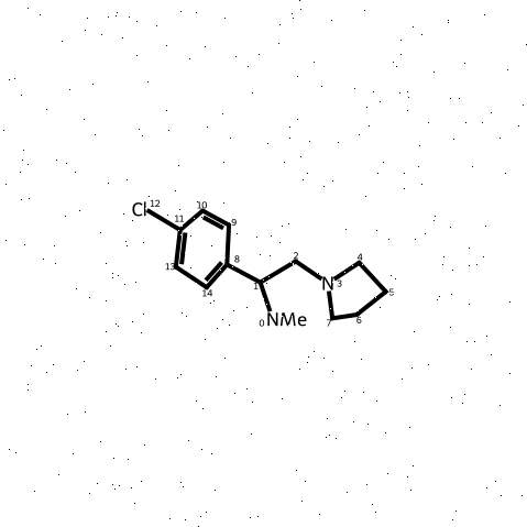 CNC(CN1CCCC1)c1ccc(Cl)cc1